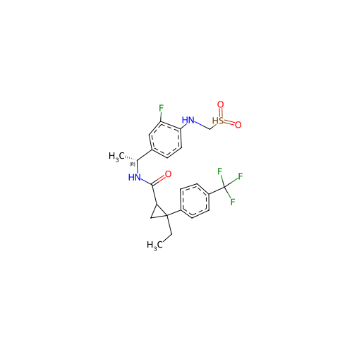 CCC1(c2ccc(C(F)(F)F)cc2)CC1C(=O)N[C@H](C)c1ccc(NC[SH](=O)=O)c(F)c1